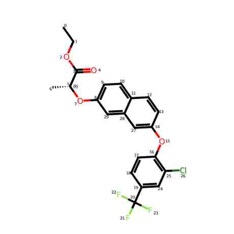 CCOC(=O)[C@@H](C)Oc1ccc2ccc(Oc3ccc(C(F)(F)F)cc3Cl)cc2c1